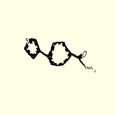 NC(=O)c1ccc(-c2ccsc2)cc1